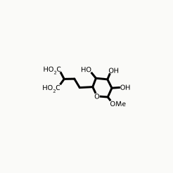 COC1OC(CCC(C(=O)O)C(=O)O)C(O)C(O)C1O